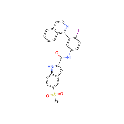 CCS(=O)(=O)c1ccc2[nH]c(C(=O)Nc3ccc(I)c(-c4nccc5ccccc45)c3)cc2c1